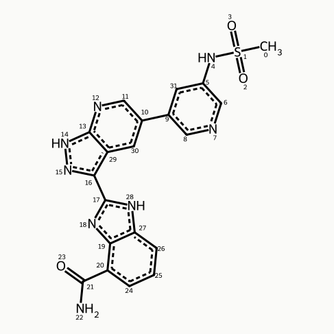 CS(=O)(=O)Nc1cncc(-c2cnc3[nH]nc(-c4nc5c(C(N)=O)cccc5[nH]4)c3c2)c1